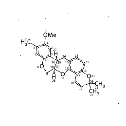 COc1cc2c(cc1C)OC[C@H]1Oc3c(ccc4c3C=CC(C)(C)O4)C[C@@H]21